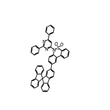 O=S1(=O)c2ccccc2-c2cc(-c3ccc4c(c3)C3(c5ccccc5-c5ccccc53)c3ccccc3-4)ccc2N1c1cc(-c2ccccc2)nc(-c2ccccc2)n1